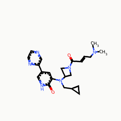 CN(C)CC=CC(=O)N1CC(N(CC2CC2)c2cc(-c3cnccn3)c[nH]c2=O)C1